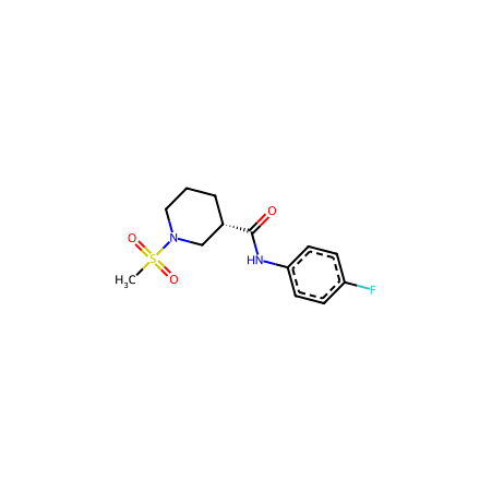 CS(=O)(=O)N1CCC[C@H](C(=O)Nc2ccc(F)cc2)C1